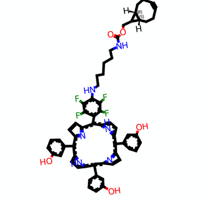 O=C(NCCCCCCNc1c(F)c(F)c(-c2c3nc(c(-c4cccc(O)c4)c4ccc([nH]4)c(-c4cccc(O)c4)c4nc(c(-c5cccc(O)c5)c5ccc2[nH]5)C=C4)C=C3)c(F)c1F)OCC1[C@H]2CCC#CCC[C@@H]12